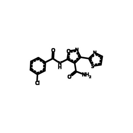 NC(=O)c1c(-c2nccs2)noc1NC(=O)c1cccc(Cl)c1